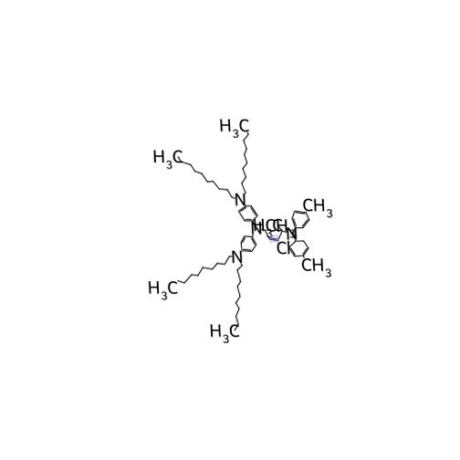 CCCCCCCCCCN(CCCCCCCCCC)c1ccc(N(c2ccc(N(CCCCCCCCCC)CCCCCCCCCC)cc2)C(C)/C=C(/Cl)C(C)N(c2ccc(C)cc2)C2C=CC(C)=CC2)cc1